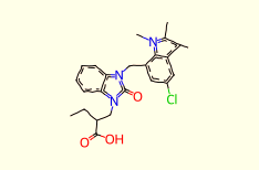 CCC(Cn1c(=O)n(Cc2cc(Cl)cc3c(C)c(C)n(C)c23)c2ccccc21)C(=O)O